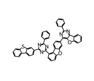 c1ccc(-c2nc(-c3ccc4c(c3)sc3ccccc34)nc(-c3cccc4oc5cc(-c6nc(-c7ccccc7)nc7c6oc6ccccc67)ccc5c34)n2)cc1